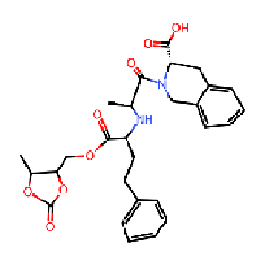 CC1OC(=O)OC1COC(=O)[C@H](CCc1ccccc1)N[C@@H](C)C(=O)N1Cc2ccccc2C[C@H]1C(=O)O